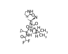 CC1(C)[C@@H]2[C@@H](C(=O)N[C@H](C#N)C[C@@H]3CCNC3=O)N(C(=O)[C@@H](NC(=O)C(F)F)C3CC3)C[C@@H]21